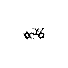 COc1ccccc1C(CSc1ccccc1N)C(=O)O